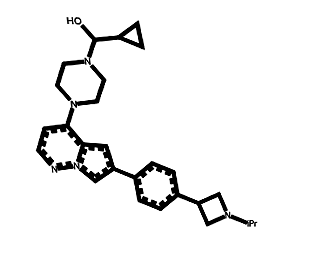 CC(C)N1CC(c2ccc(-c3cc4c(N5CCN(C(O)C6CC6)CC5)ccnn4c3)cc2)C1